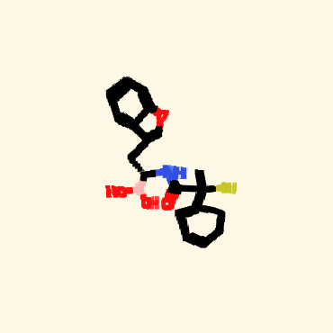 CC(S)(C(=O)N[C@@H](Cc1coc2ccccc12)B(O)O)c1ccccc1